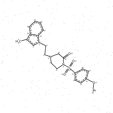 Cc1cn(CCN2CCN(S(=O)(=O)c3ccc(OC(C)C)cc3)C(=O)C2)c2ccccc12